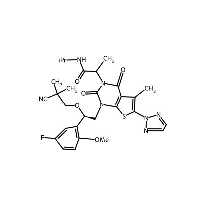 COc1ccc(F)cc1[C@H](Cn1c(=O)n(C(C)C(=O)NC(C)C)c(=O)c2c(C)c(-n3nccn3)sc21)OCC(C)(C)C#N